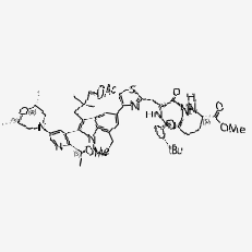 COC(=O)[C@@H]1CCCN(C(=O)[C@H](Cc2nc(-c3cc4c5c(c3)c(CC(C)(C)COC(C)=O)c(-c3cc(N6C[C@@H](C)O[C@@H](C)C6)cnc3[C@H](C)OC)n5CCC4)cs2)NC(=O)OC(C)(C)C)N1